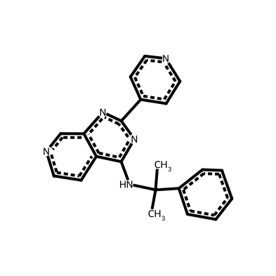 CC(C)(Nc1nc(-c2ccncc2)nc2cnccc12)c1ccccc1